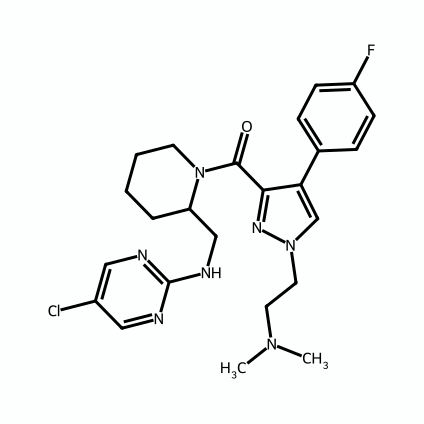 CN(C)CCn1cc(-c2ccc(F)cc2)c(C(=O)N2CCCCC2CNc2ncc(Cl)cn2)n1